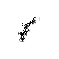 CS(=O)(=O)N1CCC(Nc2ncc(C#N)c(-c3cnn(-c4ccc(CN[C@H]5C[C@H](O)C5)cc4Cl)c3)n2)CC1